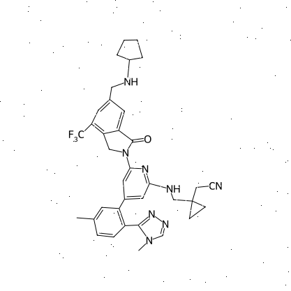 Cc1ccc(-c2nncn2C)c(-c2cc(NCC3(CC#N)CC3)nc(N3Cc4c(cc(CNC5CCCC5)cc4C(F)(F)F)C3=O)c2)c1